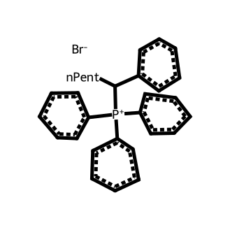 CCCCCC(c1ccccc1)[P+](c1ccccc1)(c1ccccc1)c1ccccc1.[Br-]